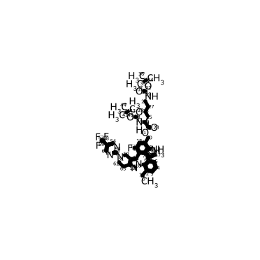 CCc1cccc(CC)c1-n1nc2c(c1-c1c(F)cc(COC(=O)[C@H](CCCCNC(=O)OC(C)(C)C)NC(=O)OC(C)(C)C)c3[nH]ccc13)CN(c1ncc(C(F)(F)F)cn1)CC2